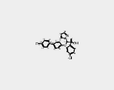 CC(O)(c1ccc(Cl)cc1)C(Oc1ccc(-c2ccc(Cl)cc2)cc1)n1cncn1